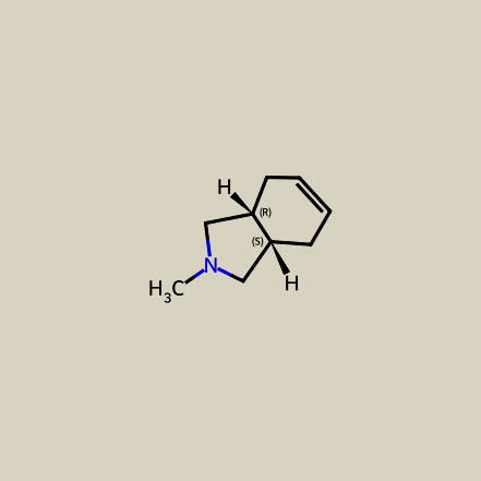 CN1C[C@H]2CC=CC[C@H]2C1